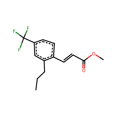 CCCc1cc(C(F)(F)F)ccc1/C=C/C(=O)OC